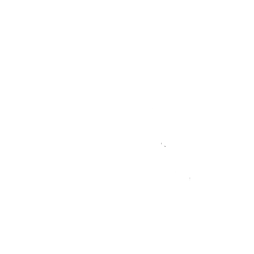 C=CCc1cccc(-c2nc(C)co2)c1